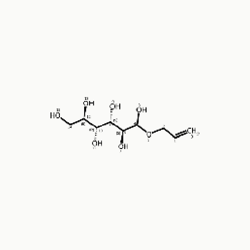 C=CCOC(O)[C@@H](O)[C@@H](O)[C@H](O)[C@H](O)CO